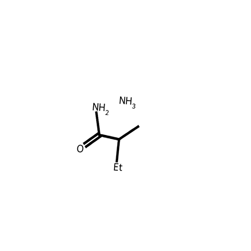 CCC(C)C(N)=O.N